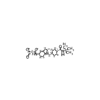 CC(C)(C)NC(=O)c1ccc(Cn2ccc3cc(NC(=O)C4C(=O)C4=O)ccc32)cc1